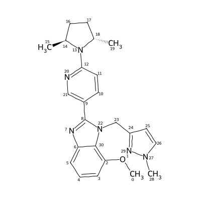 COc1cccc2nc(-c3ccc(N4[C@@H](C)CC[C@@H]4C)nc3)n(Cc3ccn(C)n3)c12